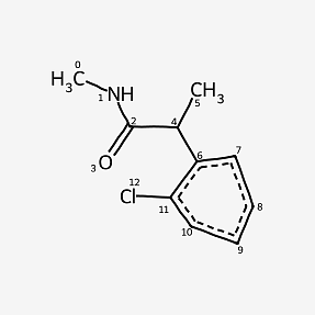 CNC(=O)C(C)c1ccccc1Cl